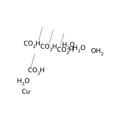 CC(=O)O.CC(=O)O.CC(=O)O.CC(=O)O.O.O.O.O.[Cu]